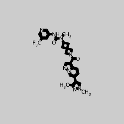 Cc1nn(C)cc1-c1ccc2c(C(=O)N3CC4(CC(N(C)C(=O)Nc5cncc(C(F)(F)F)c5)C4)C3)cnn2c1